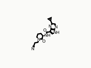 N#CCCN1CCC[C@@H](NC(=O)c2c[nH]c3ncc(C4CC4)nc23)C1=O